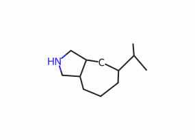 CC(C)C1CCCC2CNCC2C1